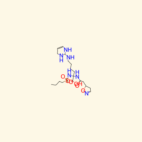 CCCCS(=O)(=O)NC(CCCCNC1NC=CCN1)(NC(=O)CC1CC=NO1)C(=O)O